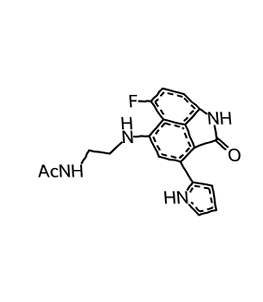 CC(=O)NCCNc1cc(-c2ccc[nH]2)c2c3c(ccc(F)c13)NC2=O